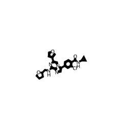 O=C(NC1CC1)c1ccc(-c2cnc3c(NCC4CCCO4)nc(-c4ccoc4)cn23)cc1Cl